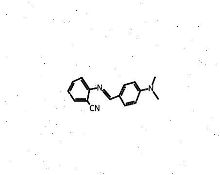 CN(C)c1ccc(C=Nc2ccccc2C#N)cc1